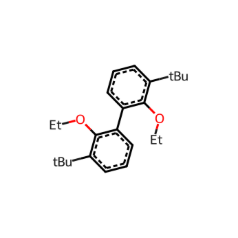 CCOc1c(-c2cccc(C(C)(C)C)c2OCC)cccc1C(C)(C)C